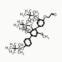 COc1cc(-c2ccc(O[Si](C)(C)C(C)(C)C)cc2)c(OC)c(O[Si](C)(C)C(C)(C)C)c1-c1ccc(OCC=O)c(O[Si](C)(C)C(C)(C)C)c1